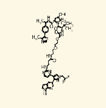 Cc1ncsc1-c1ccc(C(C)NC(=O)[C@@H]2C[C@@H](O)CN2C(=O)C(NC(=O)COCCOCCNC(=O)CCNc2nccc(-c3cn(CC(F)F)nc3-c3cnc4[nH]ccc4c3)n2)C(C)(C)C)cc1